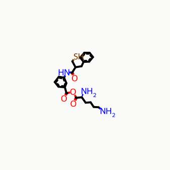 NCCCC[C@H](N)C(=O)OC(=O)c1cccc(NC(=O)C(CS)Cc2ccccc2)c1